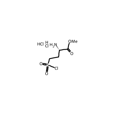 COC(=O)[C@@H](N)CCS(=O)(=O)Cl.Cl.Cl